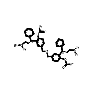 CC(C)C(=O)Oc1ccc(COCc2ccc(OC(=O)C(C)C)c([C@@H](CCN(C(C)C)C(C)C)c3ccccc3)c2)cc1[C@H](CCN(C(C)C)C(C)C)c1ccccc1